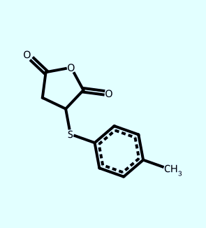 Cc1ccc(SC2CC(=O)OC2=O)cc1